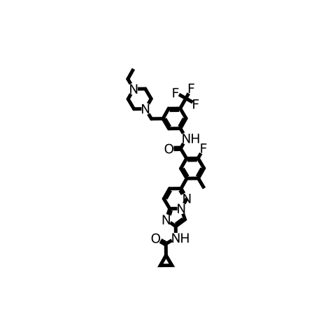 CCN1CCN(Cc2cc(NC(=O)c3cc(-c4ccc5nc(NC(=O)C6CC6)cn5n4)c(C)cc3F)cc(C(F)(F)F)c2)CC1